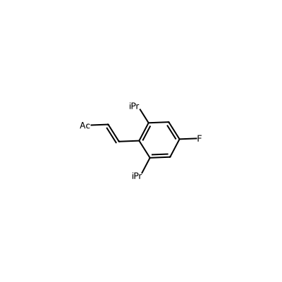 CC(=O)/C=C/c1c(C(C)C)cc(F)cc1C(C)C